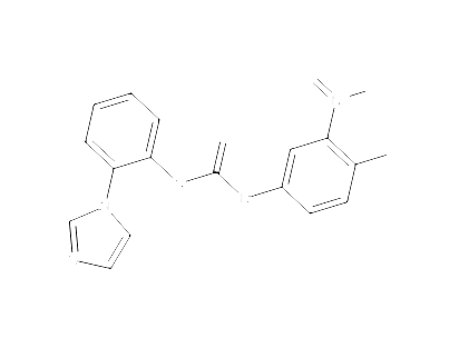 O=C(Nc1ccc(Cl)c([N+](=O)[O-])c1)Nc1ccccc1-n1ccnc1